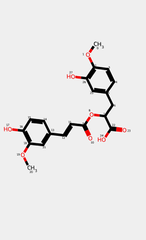 COc1ccc(CC(OC(=O)/C=C/c2ccc(O)c(OC)c2)C(=O)O)cc1O